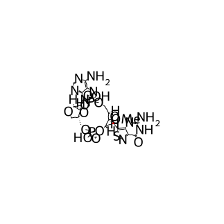 CO[C@H]1[C@H]2OP(=O)(O)OC[C@@]34CO[C@@H]([C@H](n5cnc6c(N)ncnc65)O3)[C@@H]4OP(=O)(O)OC[C@H]1O[C@H]2c1snc2c(=O)[nH]c(N)nc12